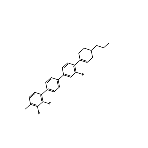 CCCC1CC=C(c2ccc(-c3ccc(-c4ccc(C)c(F)c4F)cc3)cc2F)CC1